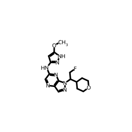 COc1cc(Nc2cnc3cnn(C(CF)C4CCOCC4)c3n2)n[nH]1